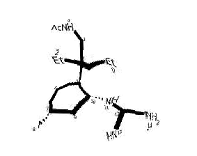 CCC(CC)(CNC(C)=O)[C@@H]1C[C@@H](I)C[C@H]1NC(=N)N